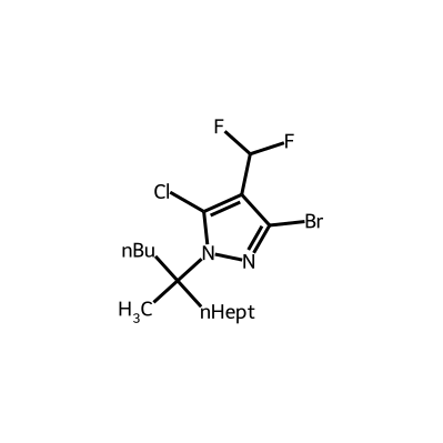 CCCCCCCC(C)(CCCC)n1nc(Br)c(C(F)F)c1Cl